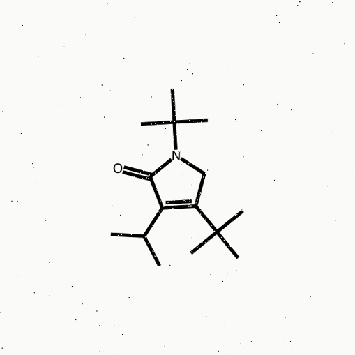 CC(C)C1=C(C(C)(C)C)CN(C(C)(C)C)C1=O